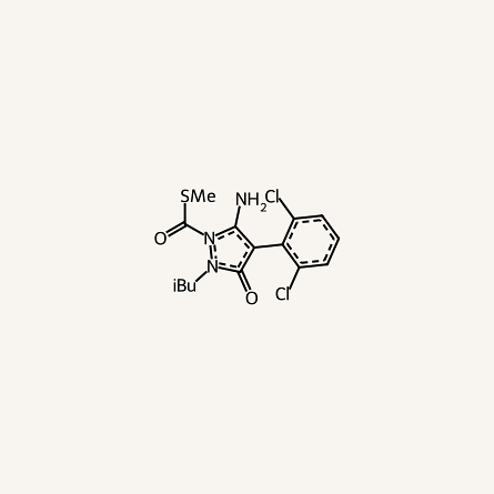 CCC(C)n1c(=O)c(-c2c(Cl)cccc2Cl)c(N)n1C(=O)SC